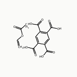 C=COC(C)=O.O=C(O)c1cc(C(=O)O)c(C(=O)O)cc1C(=O)O